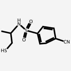 CC(CS)NS(=O)(=O)c1ccc(C#N)cc1